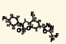 CS(=O)(=O)N(Cc1ccc(-c2nnc(C(F)F)o2)cc1F)c1ccc(F)cc1